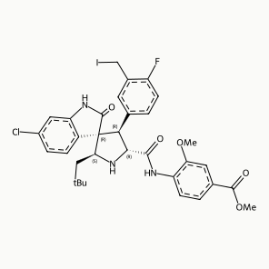 COC(=O)c1ccc(NC(=O)[C@@H]2N[C@@H](CC(C)(C)C)[C@@]3(C(=O)Nc4cc(Cl)ccc43)[C@H]2c2ccc(F)c(CI)c2)c(OC)c1